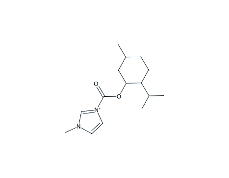 CC1CCC(C(C)C)C(OC(=O)[n+]2ccn(C)c2)C1